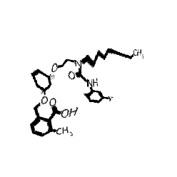 CCCCCCCN(CCO[C@H]1CCC[C@@H](OCc2cccc(C)c2C(=O)O)C1)C(=O)Nc1cccc(F)c1